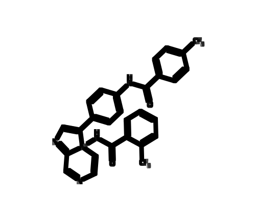 O=C(Nc1ccc(C2=CN=C3C=NC=C[N+]23NC(=O)c2ccccc2C(F)(F)F)cc1)c1ccc(C(F)(F)F)cc1